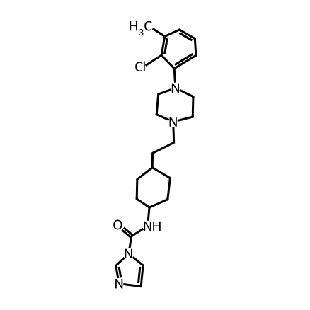 Cc1cccc(N2CCN(CCC3CCC(NC(=O)n4ccnc4)CC3)CC2)c1Cl